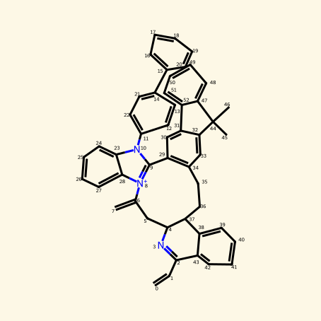 C=CC1=NC2CC(=C)[n+]3c(n(-c4ccc(-c5ccccc5)cc4)c4ccccc43)-c3cc4c(cc3CCC2c2ccccc21)C(C)(C)c1ccccc1-4